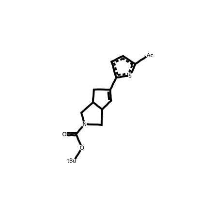 CC(=O)c1ccc(C2=CC3CN(C(=O)OC(C)(C)C)CC3C2)s1